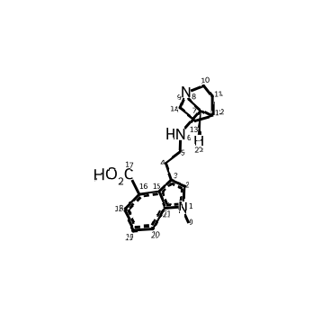 Cn1cc(CCN[C@@H]2CN3CCC2CC3)c2c(C(=O)O)cccc21